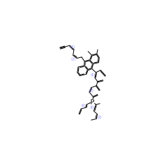 C#C/C=C\C=C/Cc1c2ccccc2c(/C(C=C)=C/C(=C)C(=C)/C=C\C(=C)P(/C=C/C=C)/C(C)=C/C=C\C)c2ccc(C)c(C)c12